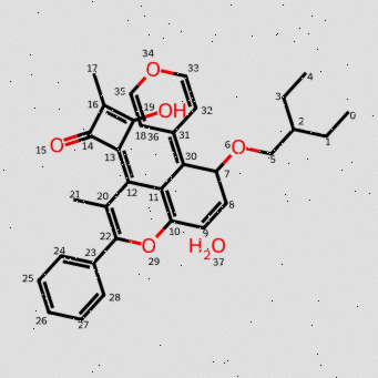 CCC(CC)COC1C=CC2=C(C(=C3C(=O)C(C)=C3O)C(C)=C(c3ccccc3)O2)C1=C1C=COC=C1.O